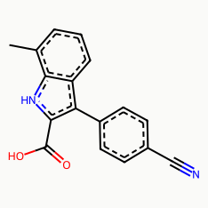 Cc1cccc2c(-c3ccc(C#N)cc3)c(C(=O)O)[nH]c12